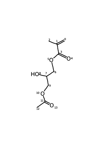 C=C(C)C(=O)OCC(O)COC(C)=O